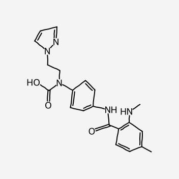 CNc1cc(C)ccc1C(=O)Nc1ccc(N(CCn2cccn2)C(=O)O)cc1